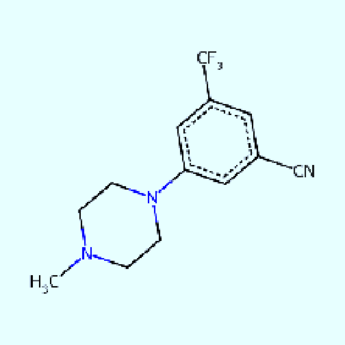 CN1CCN(c2cc(C#N)cc(C(F)(F)F)c2)CC1